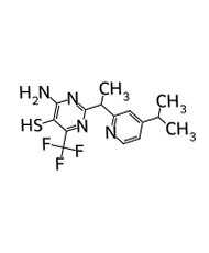 CC(C)c1ccnc(C(C)c2nc(N)c(S)c(C(F)(F)F)n2)c1